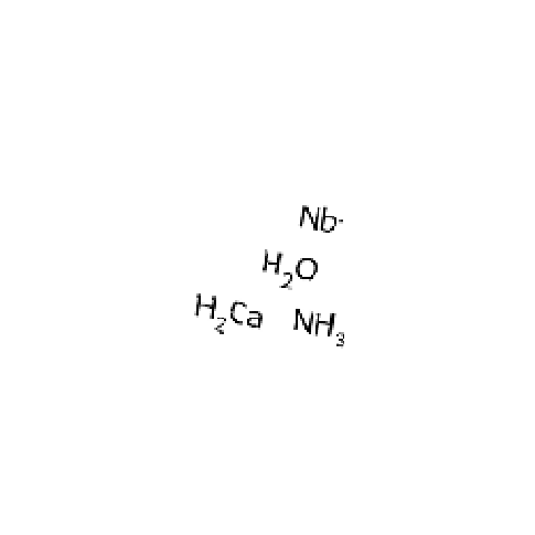 N.O.[CaH2].[Nb]